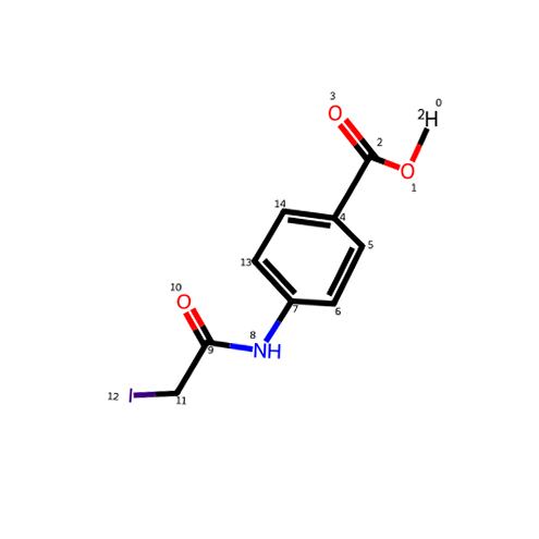 [2H]OC(=O)c1ccc(NC(=O)CI)cc1